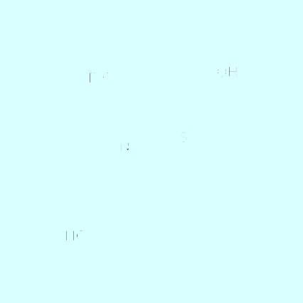 C#CCN1CSC(CO)=C1C(F)(F)F